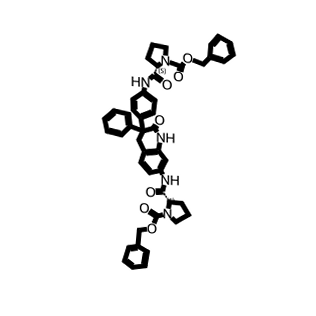 O=C(Nc1ccc(C2(c3ccccc3)Cc3ccc(NC(=O)[C@@H]4CCCN4C(=O)OCc4ccccc4)cc3NC2=O)cc1)[C@@H]1CCCN1C(=O)OCc1ccccc1